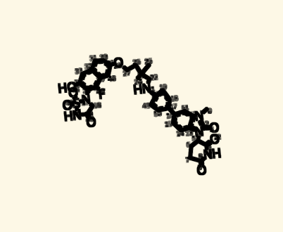 Cn1c(=O)n(C2CCC(=O)NC2=O)c2ccc(-c3ccc(NCC(C)(C)CCOc4ccc5cc(O)c(N6CC(=O)NS6(=O)=O)c(F)c5c4)cc3)cc21